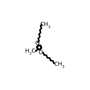 C=Cc1cc(OCCCCCCCCC)ccc1OCCCCCCCCC